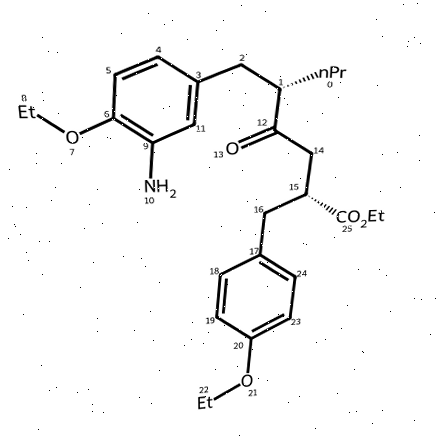 CCC[C@@H](Cc1ccc(OCC)c(N)c1)C(=O)C[C@@H](Cc1ccc(OCC)cc1)C(=O)OCC